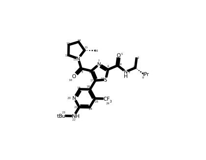 CC(C)[C@@H](C)NC(=O)c1nc(C(=O)N2CCC[C@@H]2C)c(-c2cnc(NC(C)(C)C)cc2C(F)(F)F)s1